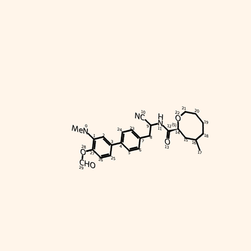 CNc1cc(-c2ccc(CC(C#N)NC(=O)[C@@H]3CC(C)CCCCO3)cc2)ccc1OC=O